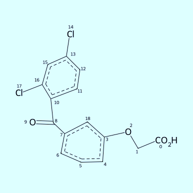 O=C(O)COc1cccc(C(=O)c2ccc(Cl)cc2Cl)c1